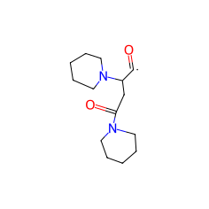 O=[C]C(CC(=O)N1CCCCC1)N1CCCCC1